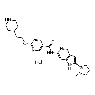 CN1CCC[C@@H]1c1cc2cnc(NC(=O)c3ccc(OCCC4CCNCC4)nc3)cc2[nH]1.Cl